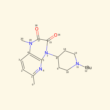 Cc1ccc2c(n1)n(C1CCN(C(C)(C)C)CC1)c(=O)c(=O)n2C